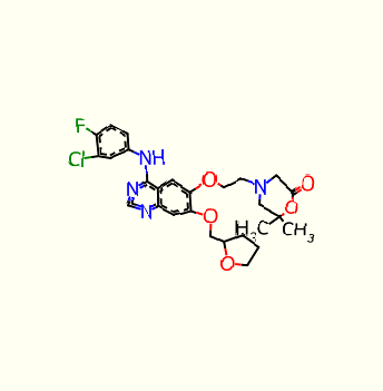 CC1(C)CN(CCOc2cc3c(Nc4ccc(F)c(Cl)c4)ncnc3cc2OCC2CCCO2)CC(=O)O1